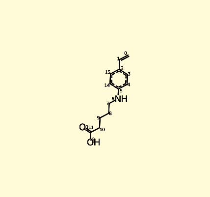 C=Cc1ccc(NCCCCC(=O)O)cc1